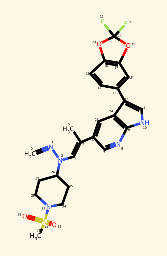 C=NN(/C=C(\C)c1cnc2[nH]cc(-c3ccc4c(c3)OC(F)(F)O4)c2c1)C1CCN(S(C)(=O)=O)CC1